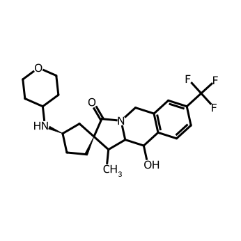 CC1C2C(O)c3ccc(C(F)(F)F)cc3CN2C(=O)[C@]12CC[C@@H](NC1CCOCC1)C2